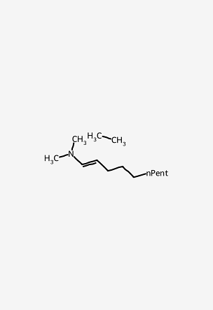 CC.CCCCCCCCC=CN(C)C